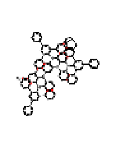 CC(C)(C)c1cc2c3c(c1)N(c1c(-c4ccccc4)cc(-c4ccccc4)cc1-c1ccccc1)c1ccccc1B3c1cc3c(cc1O2)N(c1c(-c2ccccc2)cc(-c2ccccc2)cc1-c1ccccc1)c1cc(N2CC4CC5CC4CC2C5)cc2c1B3c1ccccc1N2c1c(-c2ccccc2)cc(-c2ccccc2)cc1-c1ccccc1